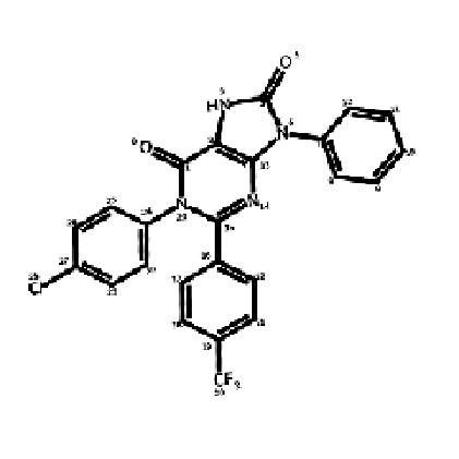 O=c1c2[nH]c(=O)n(-c3ccccc3)c2nc(-c2ccc(C(F)(F)F)cc2)n1-c1ccc(Cl)cc1